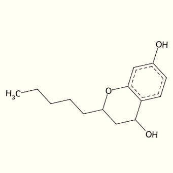 CCCCCC1CC(O)c2ccc(O)cc2O1